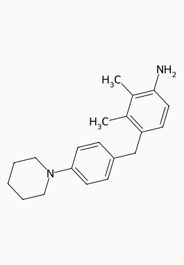 Cc1c(N)ccc(Cc2ccc(N3CCCCC3)cc2)c1C